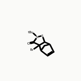 CC(C)(C)N1SC2C3C=CC(C3)C2(Br)C1=O